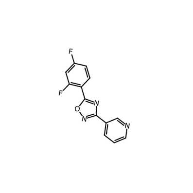 Fc1ccc(-c2nc(-c3cccnc3)no2)c(F)c1